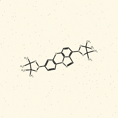 CC1(C)OB(c2ccc3c(c2)Oc2ccc(B4OC(C)(C)C(C)(C)O4)c4cnn-3c24)OC1(C)C